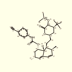 C#Cc1ccc(NC(=O)O[C@H]2C[C@@H](C)C=C3C=C[C@H](C)[C@H](CC[C@@H]4C[C@H](C(C)(C)C)C(O[SiH](C)C)C(=O)O4)[C@H]32)cc1